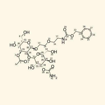 CC(=O)O[C@H]1[C@H](O)[C@H](CO)O[C@@H](OCCOCCNC(=O)OCc2ccccc2)[C@H]1OC1O[C@H](CO)[C@@H](O)[C@H](OC(N)=O)[C@@H]1O